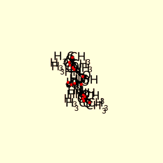 Cc1c(C)c(S(=O)(=O)NC(=N)NCCC[C@H](NC(=O)[C@H](CCCNC(=N)NS(=O)(=O)c2c(C)c(C)c3c(c2C)CC(C)(C)O3)NC(=O)OCc2ccccc2)C(=O)O)c(C)c2c1OC(C)(C)C2